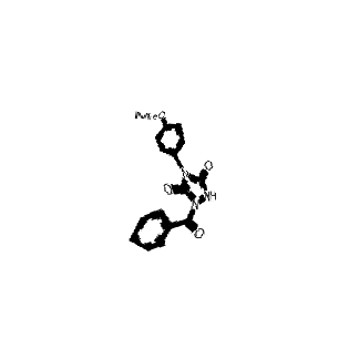 COc1ccc(-n2c(=O)[nH]n(C(=O)c3ccccc3)c2=O)cc1